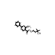 CC(C)(C#N)CCOOC(=O)c1cnc(-c2ccccc2)nc1N